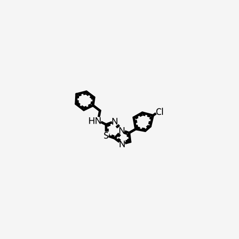 Clc1ccc(-c2cnc3sc(NCc4ccccc4)nn23)cc1